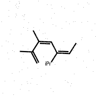 C=C(C)/C(C)=C\C(=C/C)C(C)C